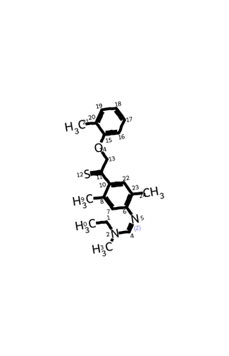 CCN(C)/C=N\c1cc(C)c(C(=S)COc2ccccc2C)cc1C